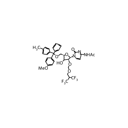 COc1ccc(C(OC[C@H]2O[C@@H](n3ccc(NC(C)=O)nc3=O)[C@@H](OCOCC(C(F)(F)F)C(F)(F)F)C2O)(c2ccccc2)c2ccc(C)cc2)cc1